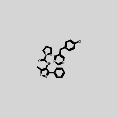 Cc1onc(-c2ccccc2)c1NC(=O)N1CCC[C@@H]1c1ncncc1Cc1ccc(Cl)cc1